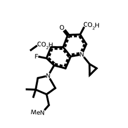 CC(=O)O.CNCC1CN(c2cc3c(cc2F)c(=O)c(C(=O)O)cn3C2CC2)CC1(C)C